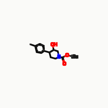 Cc1ccc(C2CCN(C(=O)OC(C)(C)C)CC2O)cc1